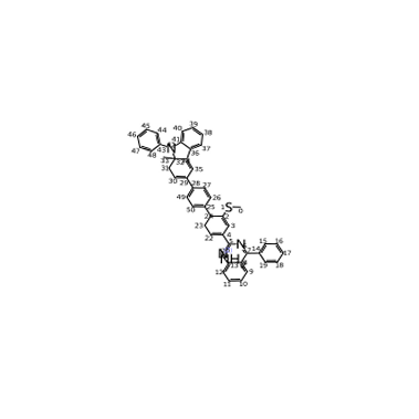 CSC1=CC(/C(N=C(c2ccccc2)c2ccccc2)=N/N)=CCC1c1ccc(C2=CCC3(C)C(=C2)c2ccccc2N3c2ccccc2)cc1